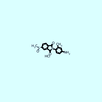 Cc1cc(N)ccc1N1C(=O)c2ccc([S+](C)[O-])cc2C1=O.Cl